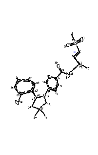 C[C@H](/C=C/S(C)(=O)=O)NC(=O)c1ccc(N2CC(C)(C)C[C@H]2c2ccccc2Cl)cc1